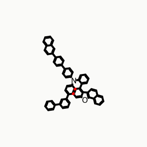 c1ccc(-c2cccc(-c3ccc(N(c4ccc(-c5ccc(-c6ccc7ccccc7c6)cc5)cc4)c4ccccc4-c4cccc5oc6c7ccccc7ccc6c45)cc3)c2)cc1